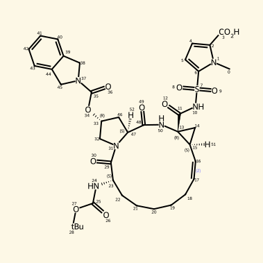 Cn1c(C(=O)O)ccc1S(=O)(=O)NC(=O)[C@@]12C[C@H]1/C=C\CCCCC[C@H](NC(=O)OC(C)(C)C)C(=O)N1C[C@H](OC(=O)N3Cc4ccccc4C3)C[C@H]1C(=O)N2